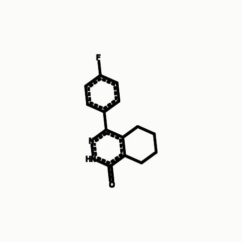 O=c1[nH]nc(-c2ccc(F)cc2)c2c1CCCC2